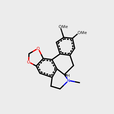 COc1cc2c(cc1OC)-c1c3c(cc4c1[C@H](C2)N(C)CC4)OCO3